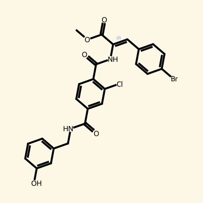 COC(=O)/C(=C/c1ccc(Br)cc1)NC(=O)c1ccc(C(=O)NCc2cccc(O)c2)cc1Cl